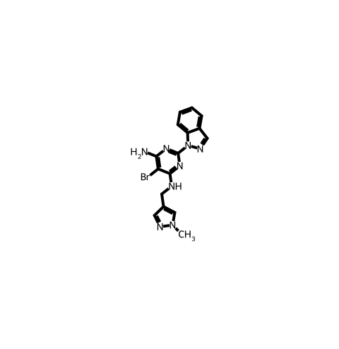 Cn1cc(CNc2nc(-n3ncc4ccccc43)nc(N)c2Br)cn1